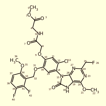 COC(=O)CNC(=O)COc1cc(Cl)c(-n2c(=O)[nH]c3c(OC)nc(CF)nc32)cc1OCc1c(OC)ccc(F)c1F